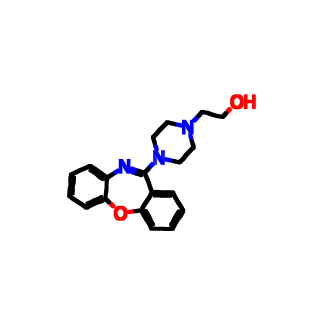 OCCN1CCN(C2=Nc3ccccc3Oc3ccccc32)CC1